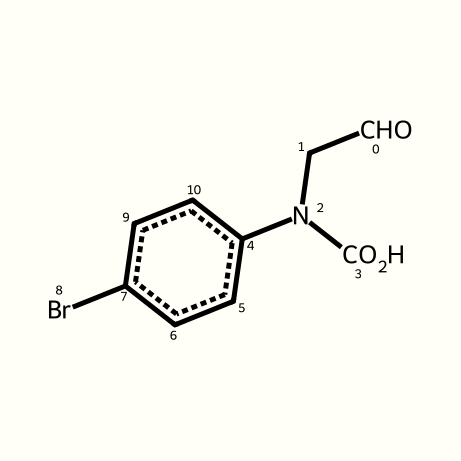 O=CCN(C(=O)O)c1ccc(Br)cc1